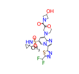 CC1(NS(=O)(=O)c2cc(N3CCO[C@H](C(=O)N4CC(O)C4)C3)c3ncc(-c4nnc(C(F)F)s4)n3c2)CC1